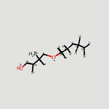 BC(C)(COC(C)(C)C(C)(C)CC(C)(C)C(C)C)C(C)CO